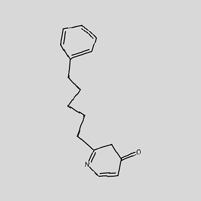 O=C1C=CN=C(CCCCCc2ccccc2)C1